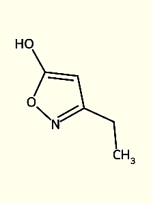 CCc1cc(O)on1